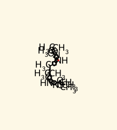 CC(C#CC(C)(C)c1ccc2[nH]c3cnc(C(=O)OC(C)(C)C)cc3c2c1)c1ccc2[nH]c3cnc(C(=O)OC(C)(C)C)cc3c2c1